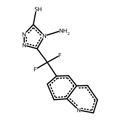 Nn1c(S)nnc1C(F)(F)c1ccc2ncccc2c1